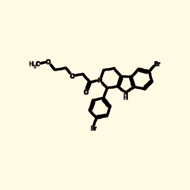 COCCOCC(=O)N1CCc2c([nH]c3ccc(Br)cc23)C1c1ccc(Br)cc1